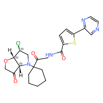 O=C(NCC(=O)C1(N2C[C@H](Cl)[C@H]3OCC(=O)[C@H]32)CCCCC1)c1ccc(-c2cnccn2)s1